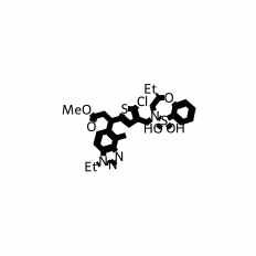 CC[C@@H]1CN(Cc2cc(C(CC(=O)OC)c3ccc4c(nnn4CC)c3C)sc2Cl)S(O)(O)c2ccccc2O1